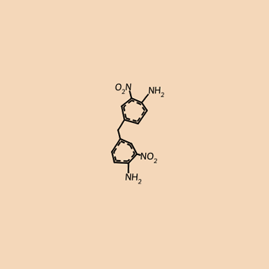 Nc1ccc(Cc2ccc(N)c([N+](=O)[O-])c2)cc1[N+](=O)[O-]